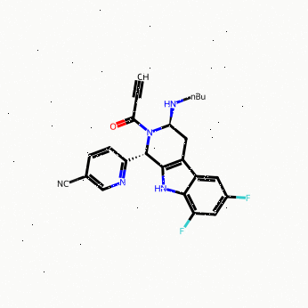 C#CC(=O)N1[C@@H](c2ccc(C#N)cn2)c2[nH]c3c(F)cc(F)cc3c2C[C@@H]1NCCCC